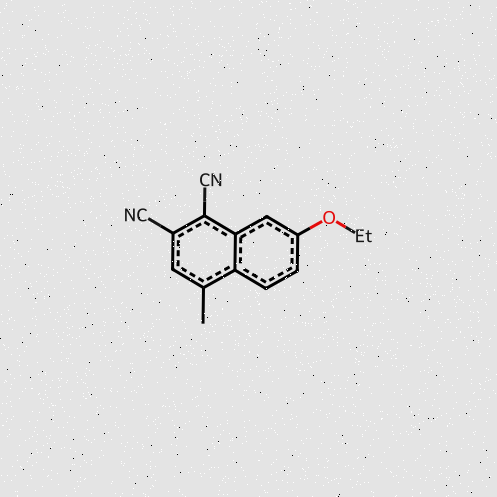 CCOc1ccc2c(C)cc(C#N)c(C#N)c2c1